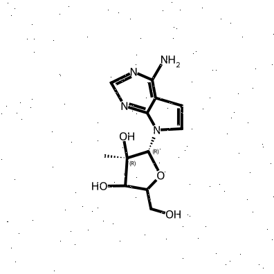 C[C@@]1(O)C(O)C(CO)O[C@H]1n1ccc2c(N)ncnc21